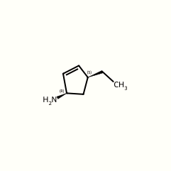 CC[C@@H]1C=C[C@H](N)C1